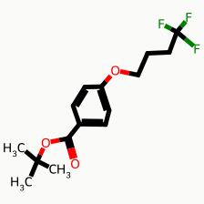 CC(C)(C)OC(=O)c1ccc(OCCCC(F)(F)F)cc1